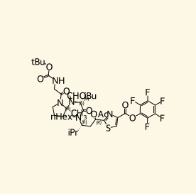 CCCCCCN(C(=O)[C@H]([C@@H](C)CC)N(C=O)[C@@]1(C)CCCN1C(=O)CNC(=O)OC(C)(C)C)[C@H](C[C@@H](OC(C)=O)c1nc(C(=O)Oc2c(F)c(F)c(F)c(F)c2F)cs1)C(C)C